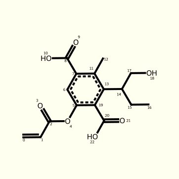 C=CC(=O)Oc1cc(C(=O)O)c(C)c(C(CC)CO)c1C(=O)O